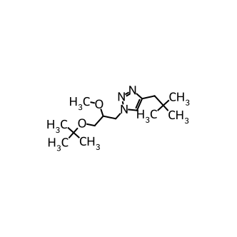 COC(COC(C)(C)C)Cn1cc(CC(C)(C)C)nn1